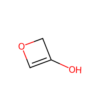 OC1=COC1